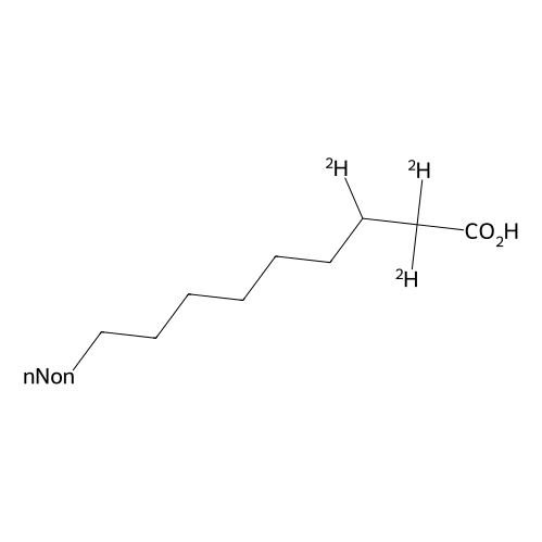 [2H]C(CCCCCCCCCCCCCCC)C([2H])([2H])C(=O)O